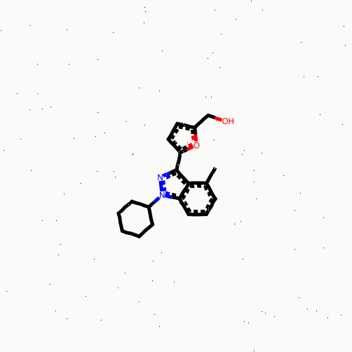 Cc1cccc2c1c(-c1ccc(CO)o1)nn2C1CCCCC1